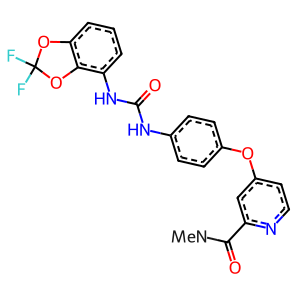 CNC(=O)c1cc(Oc2ccc(NC(=O)Nc3cccc4c3OC(F)(F)O4)cc2)ccn1